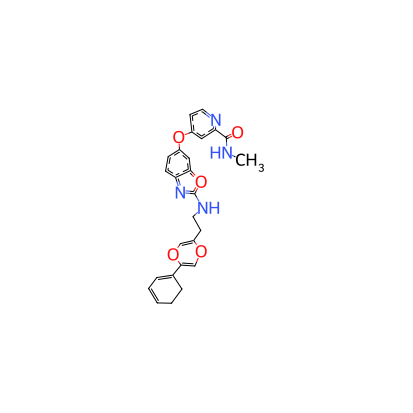 CNC(=O)c1cc(Oc2ccc3nc(NCCC4=COC(C5=CC=CCC5)=CO4)oc3c2)ccn1